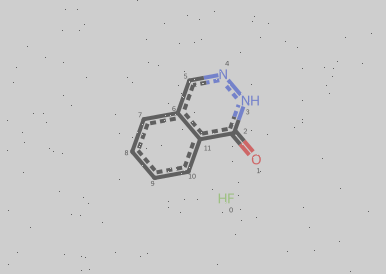 F.O=c1[nH]ncc2ccccc12